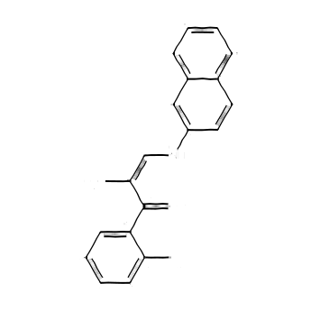 CCOC(=O)/C(=C/Nc1ccc2ccccc2c1)C(=O)c1ccccc1Cl